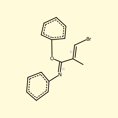 CC(=C\Br)/C(=N/c1ccccc1)Oc1ccccc1